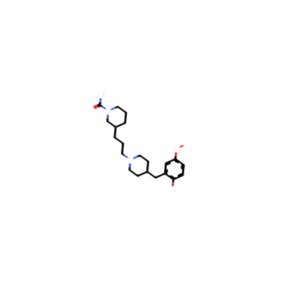 COc1ccc(Br)c(CC2CCN(CCCC3CCCN(C(N)=O)C3)CC2)c1